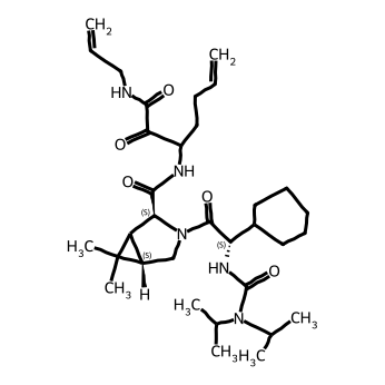 C=CCCC(NC(=O)[C@@H]1C2[C@H](CN1C(=O)[C@@H](NC(=O)N(C(C)C)C(C)C)C1CCCCC1)C2(C)C)C(=O)C(=O)NCC=C